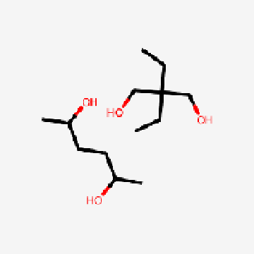 CC(O)CCC(C)O.CCC(CC)(CO)CO